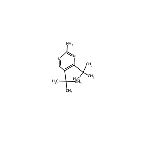 CC(C)(C)c1cnc(N)nc1C(C)(C)C